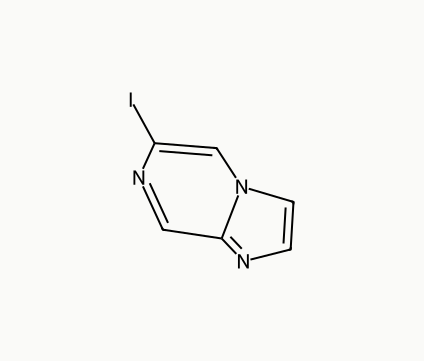 Ic1cn2ccnc2cn1